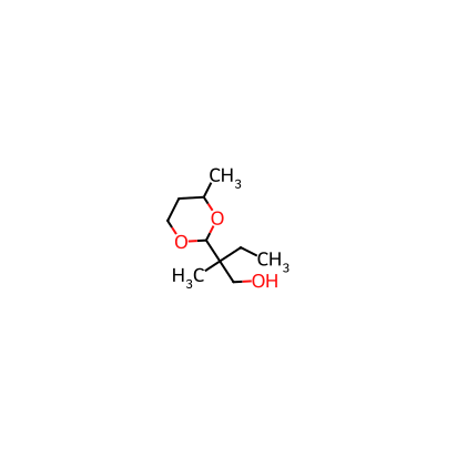 CCC(C)(CO)C1OCCC(C)O1